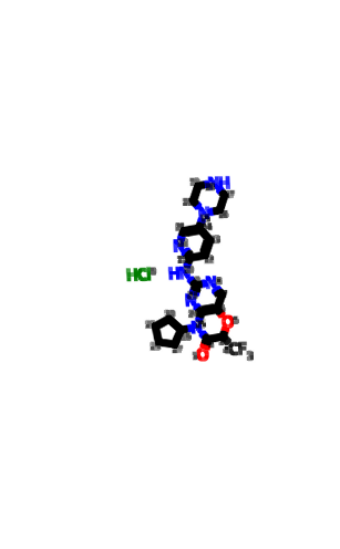 Cl.O=C1C(C(F)(F)F)Oc2cnc(Nc3ccc(N4CCNCC4)cn3)nc2N1C1CCCC1